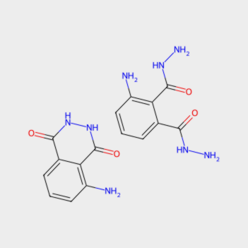 NNC(=O)c1cccc(N)c1C(=O)NN.Nc1cccc2c(=O)[nH][nH]c(=O)c12